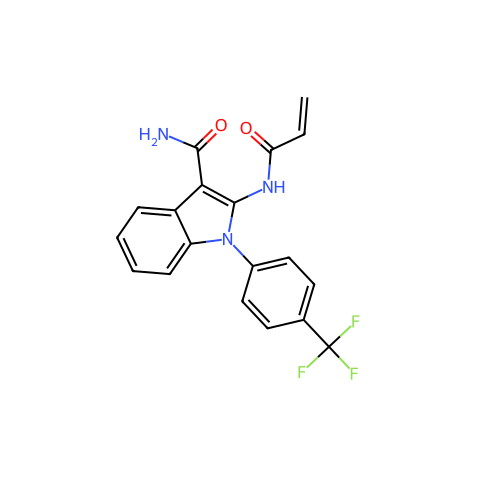 C=CC(=O)Nc1c(C(N)=O)c2ccccc2n1-c1ccc(C(F)(F)F)cc1